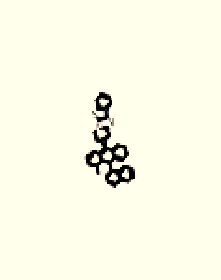 CC1CC=Cc2c1c(-c1cccc3ccccc13)c1ccccc1c2-c1ccn2c(c1)nc1c3ccccc3sc12